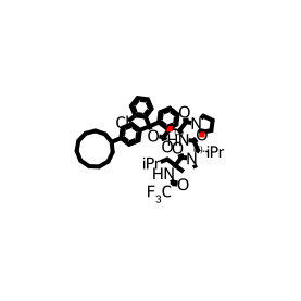 CC(C)CC(C)(NC(=O)C(F)(F)F)C(=O)N(C)[C@H](C(=O)N[C@@H](CC(=O)OC(c1ccccc1)(c1ccc(C2CCCCCCCCCC2)cc1)c1ccccc1Cl)C(=O)N1CCCC1)C(C)C